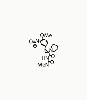 CNC(=O)NC(=O)C1(N2CCCCC2)CC1c1ccc(OC)c(N=S(=O)=O)c1